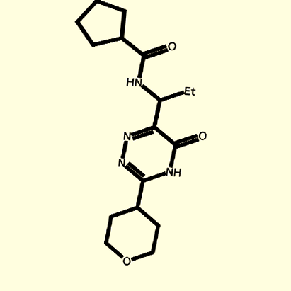 CCC(NC(=O)C1CCCC1)c1nnc(C2CCOCC2)[nH]c1=O